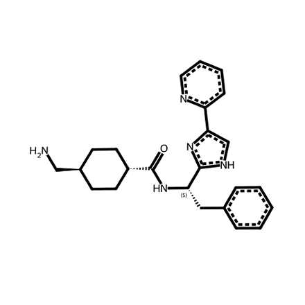 NC[C@H]1CC[C@H](C(=O)N[C@@H](Cc2ccccc2)c2nc(-c3ccccn3)c[nH]2)CC1